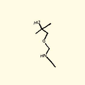 CNCOCC(C)(C)O